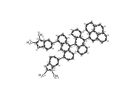 Cc1nc2ccc(-c3cccc4c(-c5c6ccccc6c(-c6cc7cccc8ccc9cccc6c9c87)c6ccccc56)c5cccc(-c6ccc7nc(C)n(C)c7c6)c5cc34)cc2n1C